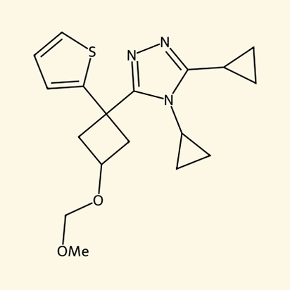 COCOC1CC(c2cccs2)(c2nnc(C3CC3)n2C2CC2)C1